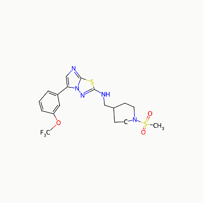 CS(=O)(=O)N1CCC(CNc2nn3c(-c4cccc(OC(F)(F)F)c4)cnc3s2)CC1